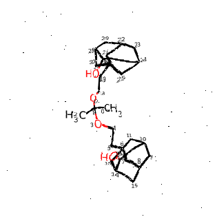 CC(C)(OCCC12CC3CC(C1)C(O)C(C3)C2)OCCC12CC3CC(C1)C(O)C(C3)C2